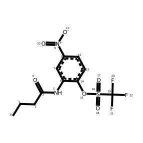 CCCC(=O)Nc1cc([N+](=O)[O-])ccc1OS(=O)(=O)C(F)(F)F